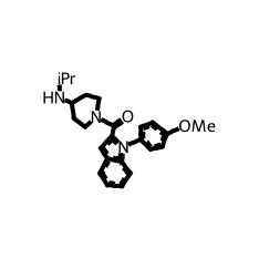 COc1ccc(-n2c(C(=O)N3CCC(NC(C)C)CC3)cc3ccccc32)cc1